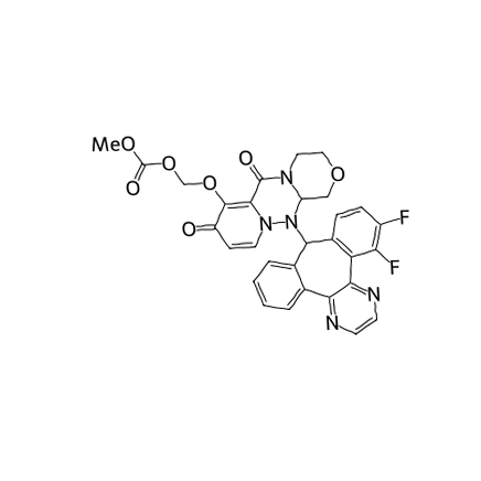 COC(=O)OCOc1c2n(ccc1=O)N(C1c3ccccc3-c3nccnc3-c3c1ccc(F)c3F)C1COCCN1C2=O